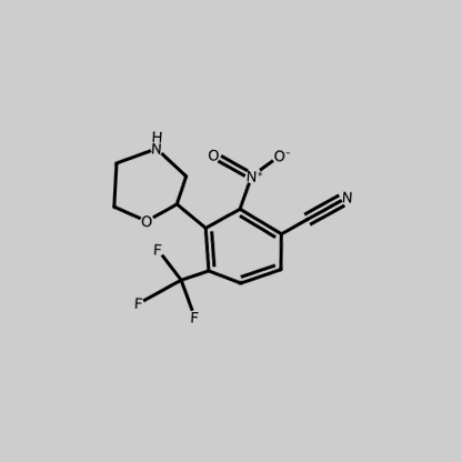 N#Cc1ccc(C(F)(F)F)c(C2CNCCO2)c1[N+](=O)[O-]